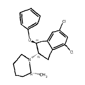 C[C@@H]1CCCCN1[C@H]1Cc2c(Cl)cc(Cl)cc2[C@@H]1Oc1ccccc1